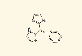 O=C(c1ncc[nH]1)c1ncc[nH]1.c1cncnc1